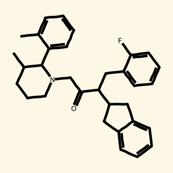 Cc1ccccc1C1C(C)CCCN1CC(=O)C(Cc1ccccc1F)C1Cc2ccccc2C1